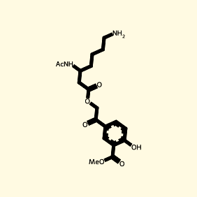 COC(=O)c1cc(C(=O)COC(=O)CC(CCCCN)NC(C)=O)ccc1O